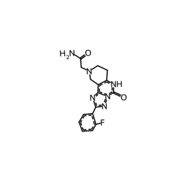 NC(=O)CN1CCc2[nH]c(=O)n3nc(-c4ccccc4F)nc3c2C1